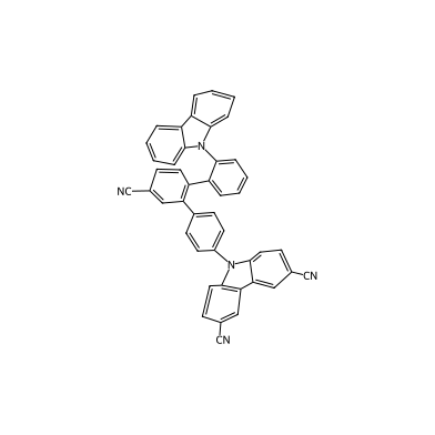 N#Cc1ccc(-c2ccccc2-n2c3ccccc3c3ccccc32)c(-c2ccc(-n3c4ccc(C#N)cc4c4cc(C#N)ccc43)cc2)c1